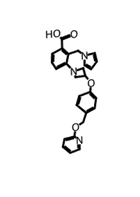 O=C(O)c1cccc(N2CC(Oc3ccc(COc4ccccn4)cc3)C2)c1Cn1cccc1